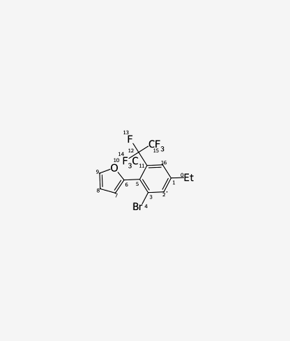 CCc1[c]c(Br)c(-c2ccco2)c(C(F)(C(F)(F)F)C(F)(F)F)c1